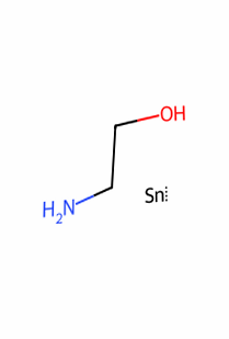 NCCO.[Sn]